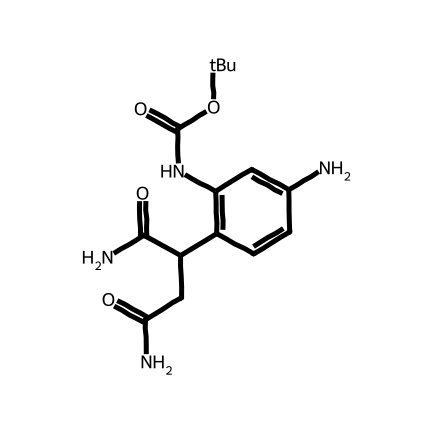 CC(C)(C)OC(=O)Nc1cc(N)ccc1C(CC(N)=O)C(N)=O